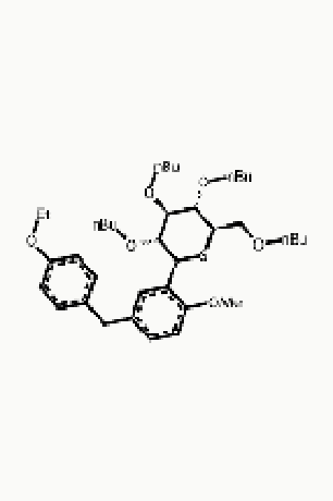 CCCCOC[C@H]1S[C@@H](c2cc(Cc3ccc(OCC)cc3)ccc2OC)[C@H](OCCCC)[C@@H](OCCCC)[C@@H]1OCCCC